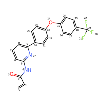 C=CC(=O)Nc1cccc(-c2ccc(Oc3ccc(C(F)(F)F)cc3)cc2)n1